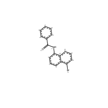 O=C(Nc1cccc2c(Br)ccnc12)c1ccccc1